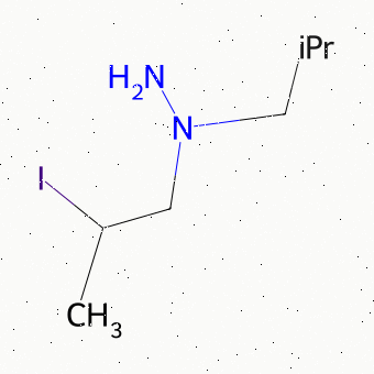 CC(C)CN(N)CC(C)I